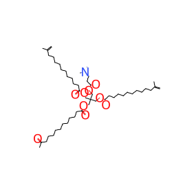 C=C(C)CCCCCCCCCCC(=O)OCC(COC(=O)CCCCCCCCCCC(=C)C)(COC(=O)CCCCCCCCCCC(C)=O)COC(=O)CCN(C)C